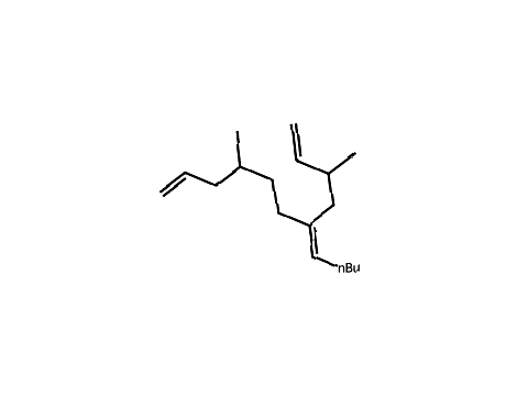 C=CCC(C)CCC(=CCCCC)CC(C)C=C